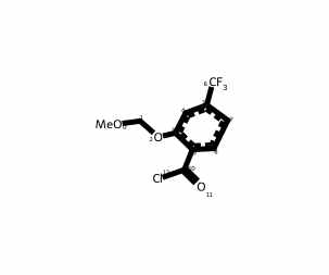 COCOc1cc(C(F)(F)F)ccc1C(=O)Cl